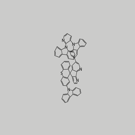 c1ccc2c(c1)Sc1ccc(-n3c4ccccc4c4ccccc43)cc1C21c2cccnc2-c2ncc(-c3ccc4c(c3)c3ccccc3n4-c3cccnc3-n3c4ccccc4c4ccccc43)cc21